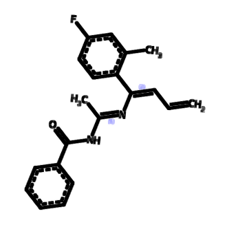 C=C/C=C(\N=C(/C)NC(=O)c1ccccc1)c1ccc(F)cc1C